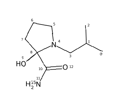 CC(C)CN1CCCC1(O)C([15NH2])=O